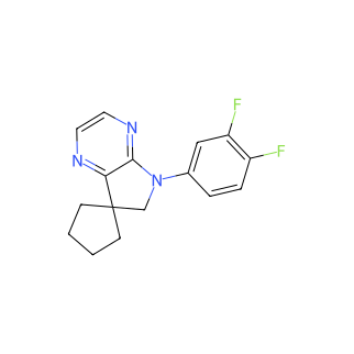 Fc1ccc(N2CC3(CCCC3)c3nccnc32)cc1F